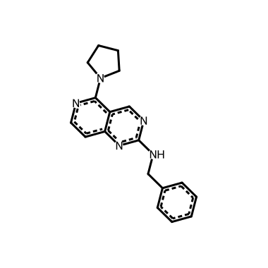 c1ccc(CNc2ncc3c(N4CCCC4)nccc3n2)cc1